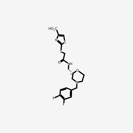 O=C(CSc1nc(C(=O)O)cs1)NC[C@H]1CN(Cc2ccc(F)c(F)c2)CCO1